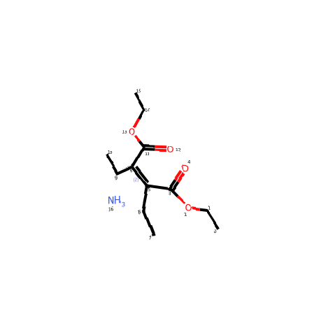 CCOC(=O)/C(CC)=C(/CC)C(=O)OCC.N